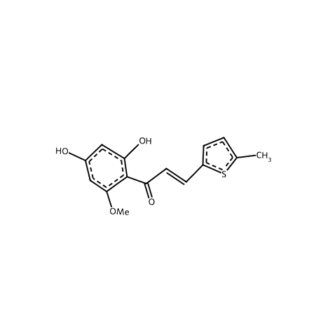 COc1cc(O)cc(O)c1C(=O)/C=C/c1ccc(C)s1